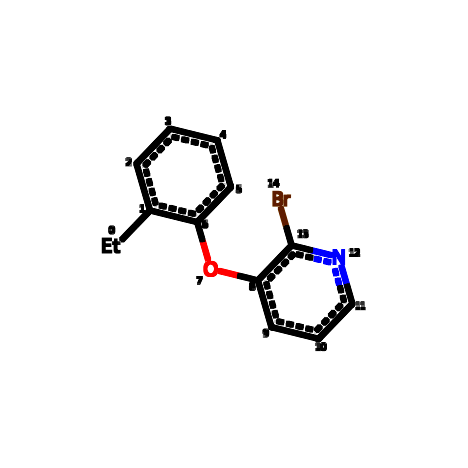 CCc1ccccc1Oc1cccnc1Br